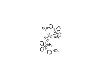 NC(COC(=O)C(=O)OCC(N)C(OCc1cccc([N+](=O)[O-])c1)(c1ccccc1)c1ccccc1)C(OCc1cccc([N+](=O)[O-])c1)(c1ccccc1)c1ccccc1